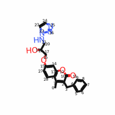 Cc1c(Cc2ccccc2)c(=O)oc2cc(OCC(O)CNn3ccnn3)ccc12